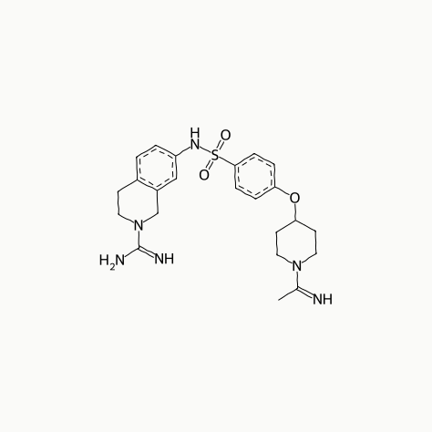 CC(=N)N1CCC(Oc2ccc(S(=O)(=O)Nc3ccc4c(c3)CN(C(=N)N)CC4)cc2)CC1